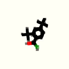 C[Si](C)(C)c1ccc(C(=O)Cl)c([Si](C)(C)C)c1